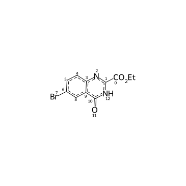 CCOC(=O)c1nc2ccc(Br)cc2c(=O)[nH]1